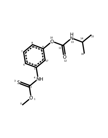 COC(=S)Nc1cccc(OC(=O)NC(C)C)c1